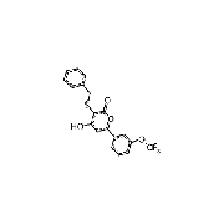 O=c1oc(-c2cccc(OC(F)(F)F)c2)cc(O)c1SCc1ccccc1